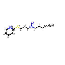 CCCCCCCCCCCCNCCCSc1ccccn1